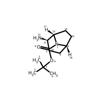 CC(C)(C)OC(=O)N1[C@H]2CC[C@@H](N)[C@@H]1CC2